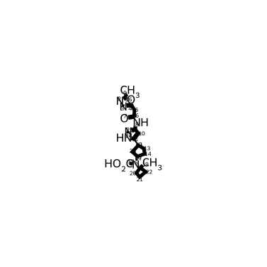 Cc1nnc(CC(=O)Nc2cc([C@H]3CC[C@@H](N(C(=O)O)C4(C)CCC4)C3)[nH]n2)o1